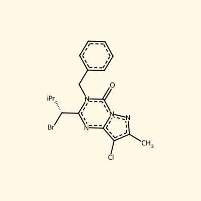 Cc1nn2c(=O)n(Cc3ccccc3)c([C@H](Br)C(C)C)nc2c1Cl